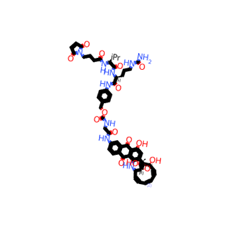 CC(C)[C@H](NC(=O)CCCN1C(=O)C=CC1=O)C(=O)N[C@@H](CCCNC(N)=O)C(=O)Nc1ccc(COC(=O)NCC(=O)Nc2ccc3c(c2)C(=O)c2c(O)cc4c(c2C3=O)NC2C#C/C=C\C#C[C@@H](O)[C@@]43O[C@@]23[C@@H](C)O)cc1